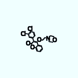 O=c1oc2ccccc2c(OCCN2CCOCC2)c1-c1ccc(Cl)c(Cl)c1